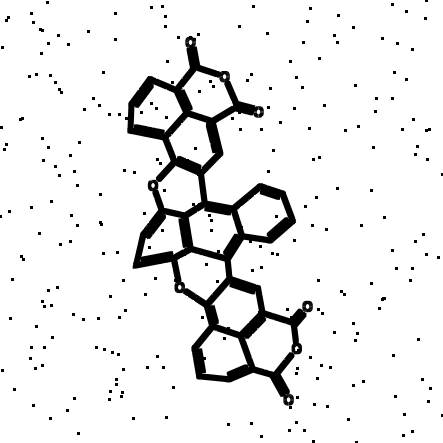 O=c1oc(=O)c2cc3c(oc4ccc5oc6c7cccc8c(=O)oc(=O)c(cc6c6c9ccccc9c3c4c56)c87)c3cccc1c23